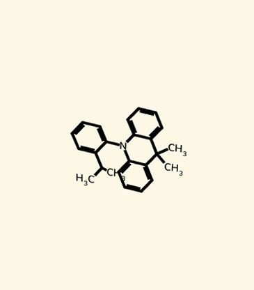 CC(C)c1ccccc1N1c2ccccc2C(C)(C)c2ccccc21